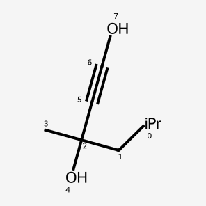 CC(C)CC(C)(O)C#CO